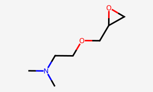 CN(C)CCOCC1CO1